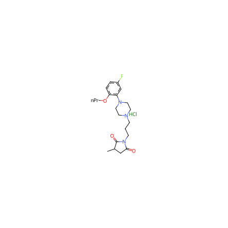 CCCOc1ccc(F)cc1N1CCN(CCCN2C(=O)CC(C)C2=O)CC1.Cl